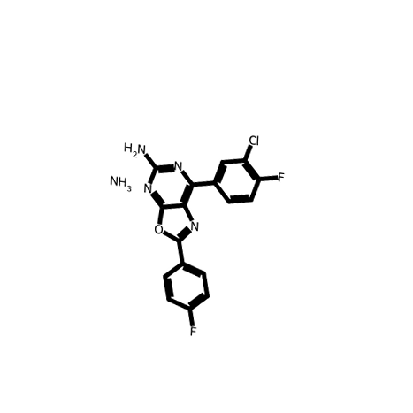 N.Nc1nc(-c2ccc(F)c(Cl)c2)c2nc(-c3ccc(F)cc3)oc2n1